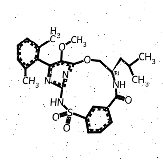 COc1c2nc(nc1-c1c(C)cccc1C)NS(=O)(=O)c1cccc(c1)C(=O)N[C@H](CC(C)C)CO2